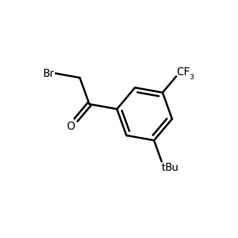 CC(C)(C)c1cc(C(=O)CBr)cc(C(F)(F)F)c1